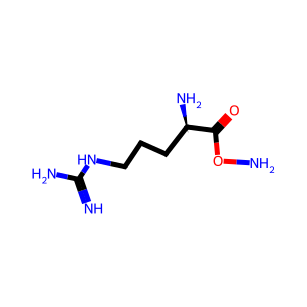 N=C(N)NCCC[C@@H](N)C(=O)ON